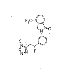 Cn1cnnc1CC(F)c1cccc(N2Cc3c(cccc3C(F)(F)F)C2=O)c1